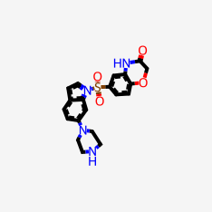 O=C1COc2ccc(S(=O)(=O)n3ccc4ccc(N5CCNCC5)cc43)cc2N1